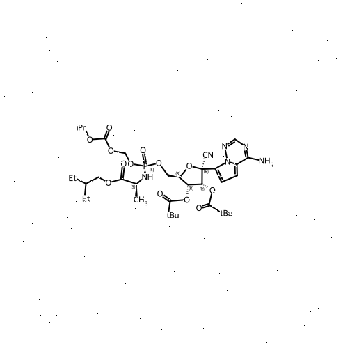 CCC(CC)COC(=O)[C@H](C)N[P@@](=O)(OCOC(=O)OC(C)C)OC[C@H]1O[C@@](C#N)(c2ccc3c(N)ncnn23)[C@H](OC(=O)C(C)(C)C)[C@@H]1OC(=O)C(C)(C)C